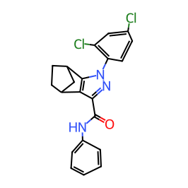 O=C(Nc1ccccc1)c1nn(-c2ccc(Cl)cc2Cl)c2c1C1CCC2C1